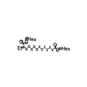 CCCCCCOC(=O)CCCCCCCCCCCC(CC)C(=O)OCCCCCC